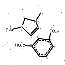 CCCCN1C=CN(C)C1.O=C(O)c1cccc(C(=O)O)c1